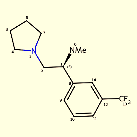 CN[C@H](CN1CCCC1)c1cccc(C(F)(F)F)c1